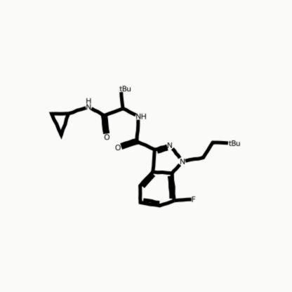 CC(C)(C)CCn1nc(C(=O)NC(C(=O)NC2CC2)C(C)(C)C)c2cccc(F)c21